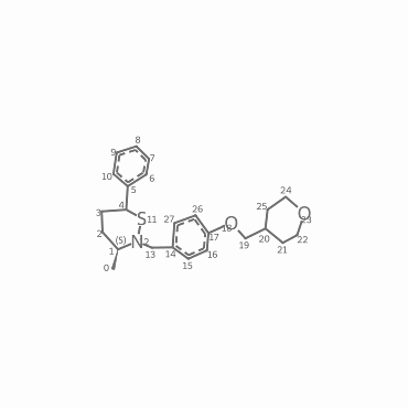 C[C@H]1CCC(c2ccccc2)SN1Cc1ccc(OCC2CCOCC2)cc1